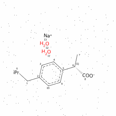 CC(C)Cc1ccc([C@H](C)C(=O)[O-])cc1.O.O.[Na+]